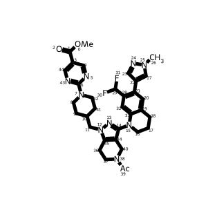 COC(=O)c1cnc(N2CCC(Cn3nc(N4CCCc5cc(-c6cnn(C)c6)c(C(F)F)cc54)c4c3CCN(C(C)=O)C4)CC2)nc1